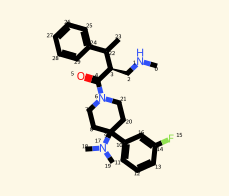 CNC[C@@H](C(=O)N1CCC(c2cccc(F)c2)(N(C)C)CC1)C(C)c1ccccc1